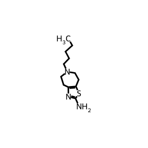 CCCCCN1CCc2nc(N)sc2CC1